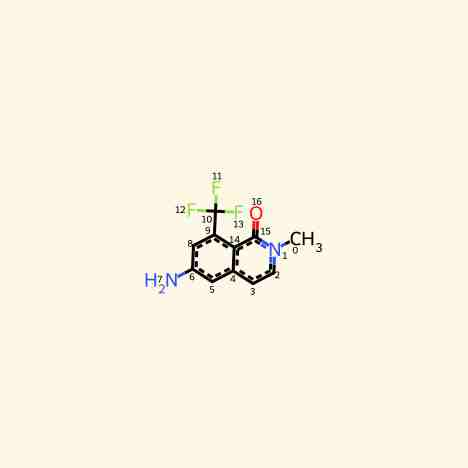 Cn1ccc2cc(N)cc(C(F)(F)F)c2c1=O